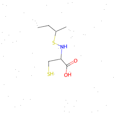 CCC(C)SNC(CS)C(=O)O